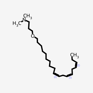 CC/C=C\C/C=C\C/C=C\CCCCCCCCCOCCCN(C)C